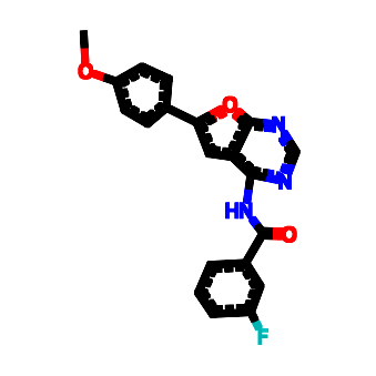 COc1ccc(-c2cc3c(NC(=O)c4cccc(F)c4)ncnc3o2)cc1